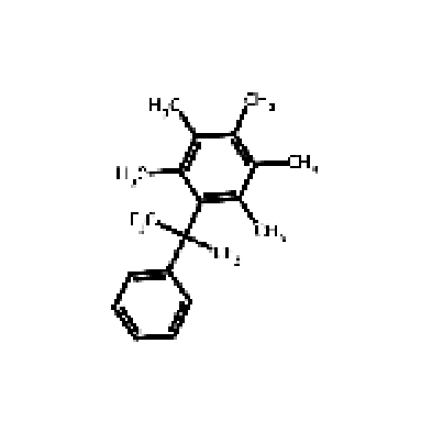 Cc1c(C)c(C)c(C(c2ccccc2)(C(F)(F)F)C(F)(F)F)c(C)c1C